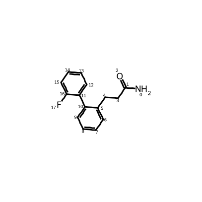 NC(=O)CCc1ccccc1-c1ccccc1F